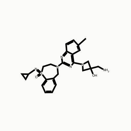 Cc1ccc2nc(N3CCS(=O)(=NC4CC4)c4ccccc4C3)nc(N3CC(O)(CN)C3)c2c1